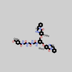 COC(=O)C1CCC(C(=O)NCC(=O)NCC(=O)NCC(=O)Nc2cc(COc3cc4c(cc3OC)C(=O)N3c5ccccc5C[C@H]3C=N4)cc(COc3cc4c(cc3OC)C(=O)N3c5ccccc5C[C@H]3CN4)c2)CC1